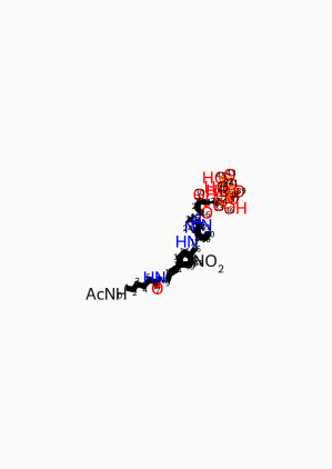 CC(=O)NCCCCCC(=O)NCC#Cc1ccc(CNc2ccnc3c2ncn3[C@H]2C[C@@H](O)[C@@H](COP(=O)(O)OP(=O)(O)OP(=O)(O)O)O2)c([N+](=O)[O-])c1